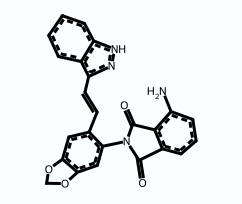 Nc1cccc2c1C(=O)N(c1cc3c(cc1/C=C/c1n[nH]c4ccccc14)OCO3)C2=O